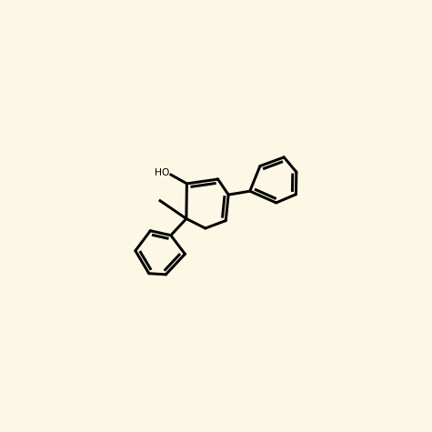 CC1(c2ccccc2)CC=C(c2ccccc2)C=C1O